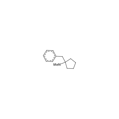 CNC1(Cc2ccccc2)CCCC1